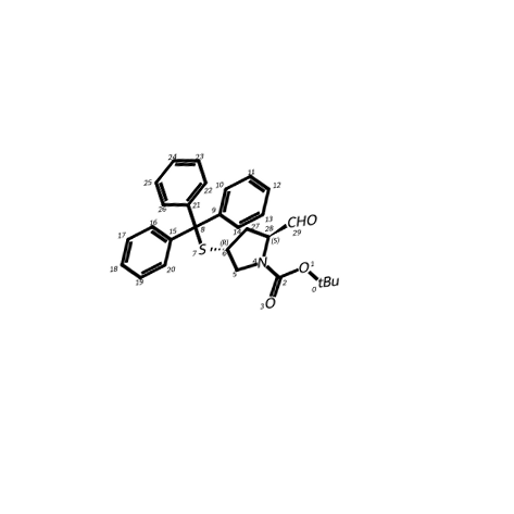 CC(C)(C)OC(=O)N1C[C@H](SC(c2ccccc2)(c2ccccc2)c2ccccc2)C[C@H]1C=O